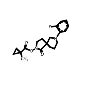 CC1(C(=O)ON2CCC3(CCCN(c4ccccc4F)C3)C2=O)CC1